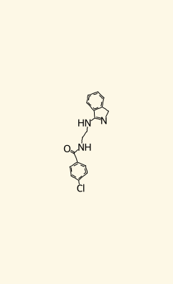 O=C(NCCNC1=NCc2ccccc21)c1ccc(Cl)cc1